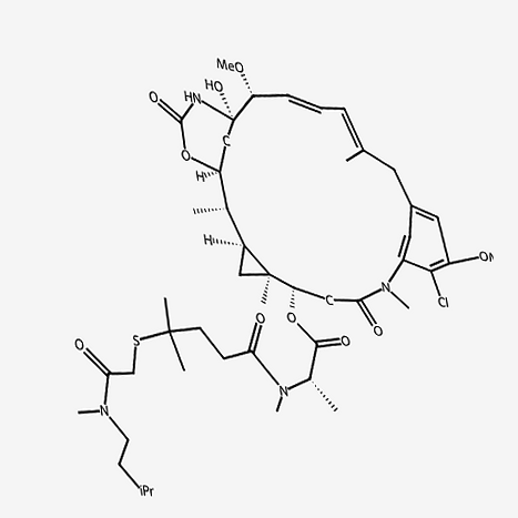 COc1cc2cc(c1Cl)N(C)C(=O)C[C@H](OC(=O)[C@H](C)N(C)C(=O)CCC(C)(C)SCC(=O)N(C)CCC(C)C)[C@@]1(C)C[C@H]1[C@H](C)[C@@H]1C[C@@](O)(NC(=O)O1)[C@H](OC)/C=C/C=C(\C)C2